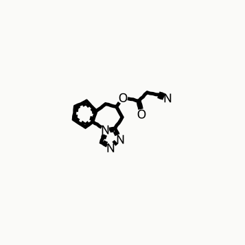 N#CCC(=O)OC1Cc2ccccc2-n2cnnc2C1